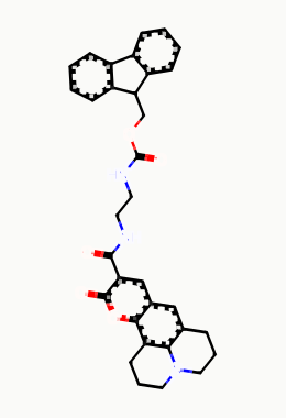 O=C(NCCNC(=O)c1cc2cc3c4c(c2oc1=O)CCCN4CCC3)OCC1c2ccccc2-c2ccccc21